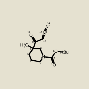 CC(C)(C)OC(=O)N1CCCC(C)(C(=O)C=[N+]=[N-])C1